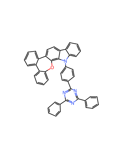 c1ccc(-c2nc(-c3ccccc3)nc(-c3ccc(-n4c5ccccc5c5ccc6c(c54)Oc4ccccc4-c4ccccc4-6)cc3)n2)cc1